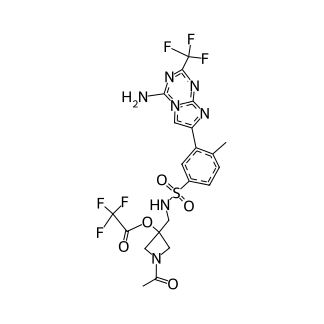 CC(=O)N1CC(CNS(=O)(=O)c2ccc(C)c(-c3cn4c(N)nc(C(F)(F)F)nc4n3)c2)(OC(=O)C(F)(F)F)C1